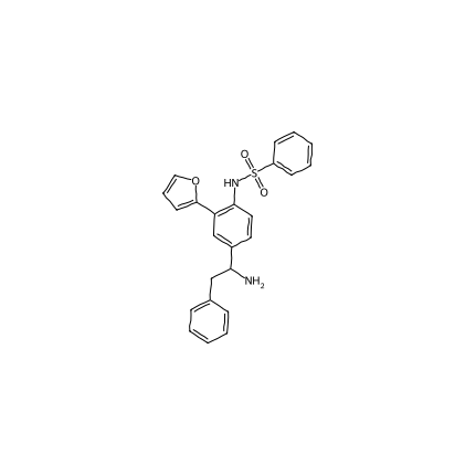 NC(Cc1ccccc1)c1ccc(NS(=O)(=O)c2ccccc2)c(-c2ccco2)c1